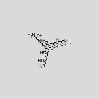 NCC(O)CNCC(O)Cn1c(=O)n(CC(O)CNCC(O)CN)c(=O)n(CC(O)CNCC(O)CN)c1=O